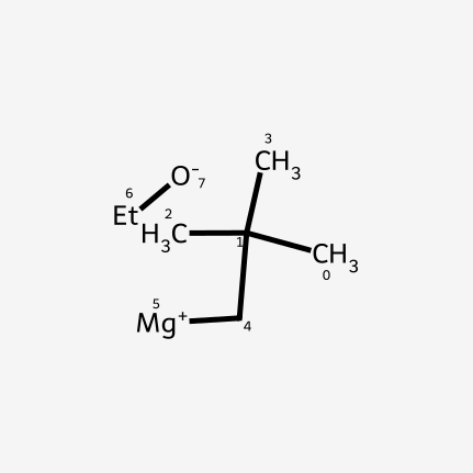 CC(C)(C)[CH2][Mg+].CC[O-]